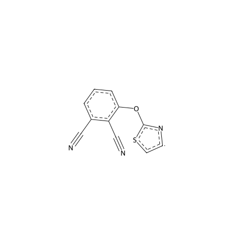 N#Cc1cccc(Oc2n[c]cs2)c1C#N